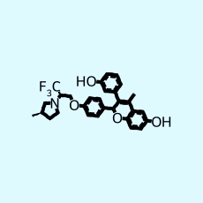 CC1=C(c2cccc(O)c2)C(c2ccc(OC[C@@H](N3CC[C@@H](C)C3)C(F)(F)F)cc2)Oc2ccc(O)cc21